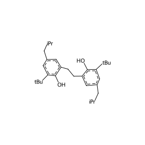 CC(C)Cc1cc(CCc2cc(CC(C)C)cc(C(C)(C)C)c2O)c(O)c(C(C)(C)C)c1